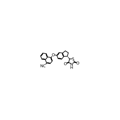 N#Cc1ccc(Oc2ccc3c(c2)CC[C@H]3C2SC(=O)NC2=O)c2ccccc12